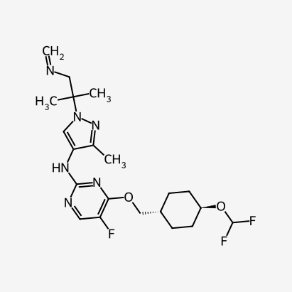 C=NCC(C)(C)n1cc(Nc2ncc(F)c(OC[C@H]3CC[C@H](OC(F)F)CC3)n2)c(C)n1